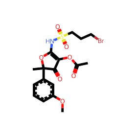 COc1cccc(C2(C)OC(NS(=O)(=O)CCCBr)=C(OC(C)=O)C2=O)c1